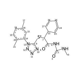 CNC(=O)NC(=O)C(Sc1nnnn1-c1cc(C)ccc1C)C1C=C=CC=C1